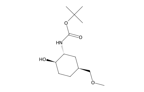 COC[C@H]1CC[C@@H](O)[C@H](NC(=O)OC(C)(C)C)C1